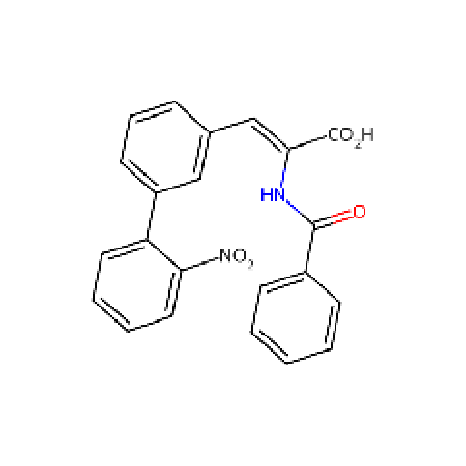 O=C(O)C(=Cc1cccc(-c2ccccc2[N+](=O)[O-])c1)NC(=O)c1ccccc1